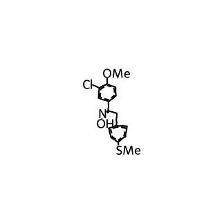 COc1ccc(/C(Cc2ccc(SC)cc2)=N/O)cc1Cl